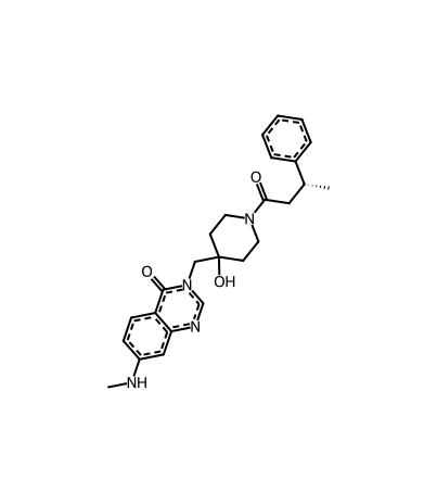 CNc1ccc2c(=O)n(CC3(O)CCN(C(=O)C[C@@H](C)c4ccccc4)CC3)cnc2c1